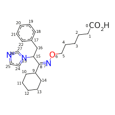 O=C(O)CCCCCO/N=C(/C1CCCCC1)C(Cc1ccccc1)n1ccnc1